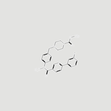 CN(C(=O)c1ccc(-c2cccc(F)c2)nc1)c1ccc(CN2CCN(C(=O)OC(C)(C)C)CC2)cc1